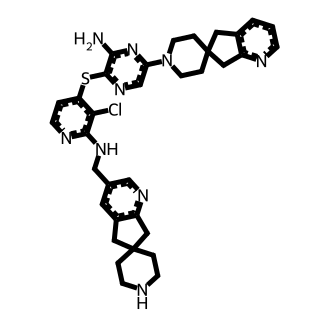 Nc1nc(N2CCC3(CC2)Cc2cccnc2C3)cnc1Sc1ccnc(NCc2cnc3c(c2)CC2(CCNCC2)C3)c1Cl